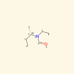 CC[C@H](C)N(C=O)CC